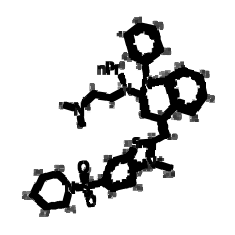 CCCN(CCN(C)C)C1=C/C(=C\c2sc3cc(S(=O)(=O)N4CCCCC4)ccc3[n+]2C)c2ccccc2N1c1ccccc1